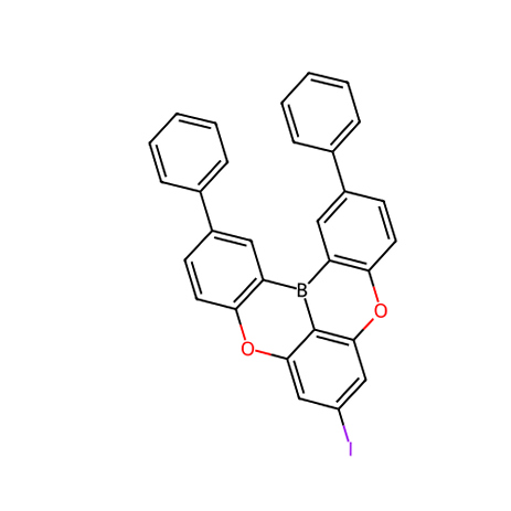 Ic1cc2c3c(c1)Oc1ccc(-c4ccccc4)cc1B3c1cc(-c3ccccc3)ccc1O2